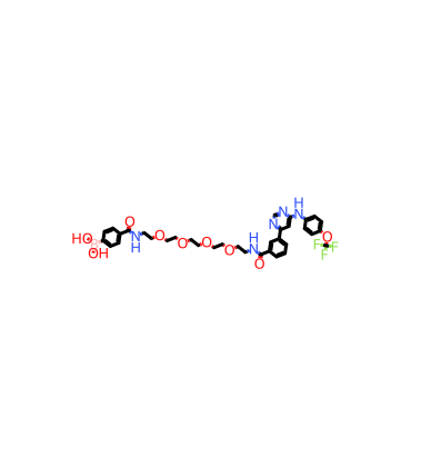 O=C(NCCOCCOCCOCCOCCNC(=O)c1cccc(-c2cc(Nc3ccc(OC(F)(F)F)cc3)ncn2)c1)c1ccc(B(O)O)cc1